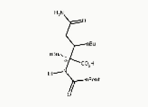 CCCCCC(=O)N(CC)[C@](CCCC)(C(=O)O)C(CCCC)CC(N)=O